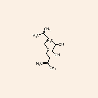 C=C(C)CCOCCC(=C)C.CC(O)CO